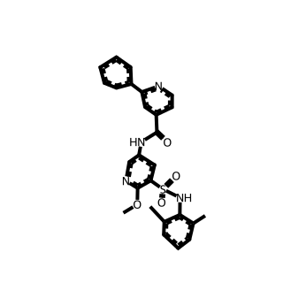 COc1ncc(NC(=O)c2ccnc(-c3ccccc3)c2)cc1S(=O)(=O)Nc1c(C)cccc1C